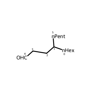 CCCCCCC(CCC=O)CCCCC